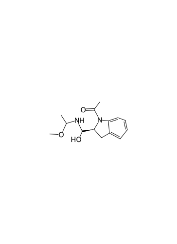 COC(C)NC(O)[C@@H]1Cc2ccccc2N1C(C)=O